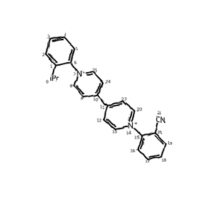 CC(C)c1ccccc1-[n+]1ccc(-c2cc[n+](-c3ccccc3C#N)cc2)cc1